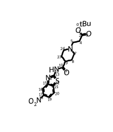 CC(C)(C)OC(=O)CCN1CCC(C(=O)Nc2nc3cc([N+](=O)[O-])ccc3s2)CC1